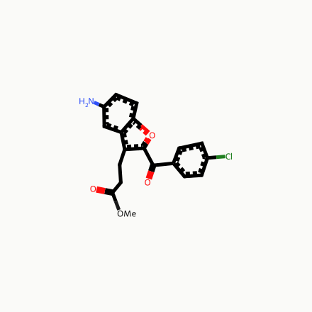 COC(=O)CCc1c(C(=O)c2ccc(Cl)cc2)oc2ccc(N)cc12